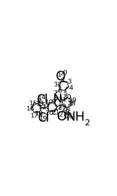 COc1cccc(Cn2c3cc(-c4c(Cl)cccc4Cl)c[c]c3c3c(C(N)=O)cccc32)c1